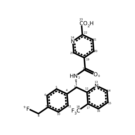 O=C(N[C@@H](c1ccc(CF)cc1)c1ncccc1C(F)(F)F)c1ccc(C(=O)O)nc1